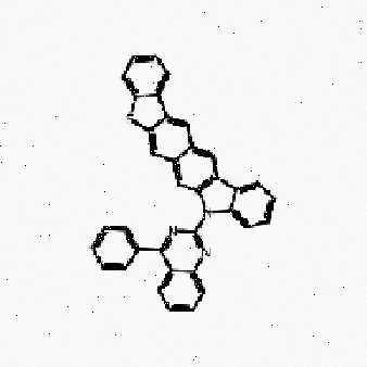 c1ccc(-c2nc(-n3c4ccccc4c4cc5cc6c(cc5cc43)sc3ccccc36)nc3ccccc23)cc1